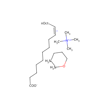 C1CO[SiH2][SiH2]C1.CCCCCCCC/C=C\CCCCCCCC(=O)[O-].C[N+](C)(C)C